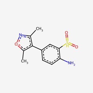 Cc1noc(C)c1-c1ccc(N)c([SH](=O)=O)c1